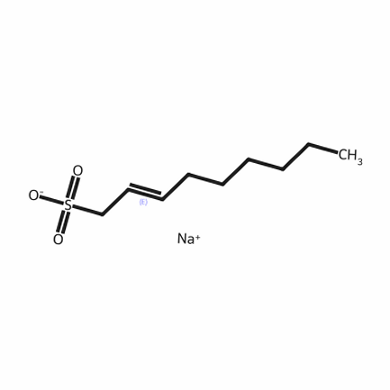 CCCCCC/C=C/CS(=O)(=O)[O-].[Na+]